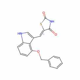 O=C1NC(=O)/C(=C/c2c[nH]c3cccc(OCc4ccccc4)c23)S1